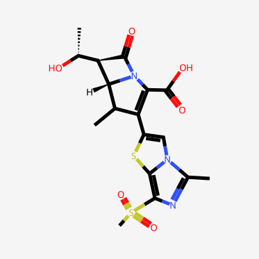 Cc1nc(S(C)(=O)=O)c2sc(C3=C(C(=O)O)N4C(=O)[C@H]([C@@H](C)O)[C@H]4C3C)cn12